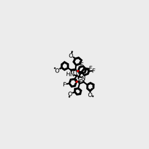 COc1cccc(C2=NC(c3cc(F)ccc3F)(C3(c4cc(F)ccc4F)NC(c4cccc(OC)c4)=C(c4cccc(OC)c4)N3c3ccc(F)cc3F)N=C2c2cccc(OC)c2)c1